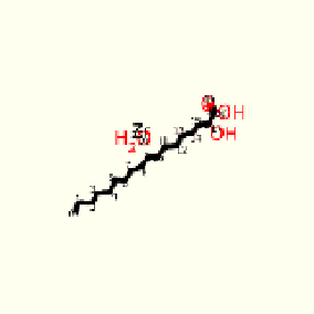 CCCCCCCCCCCCCCCCC(O)C(=O)O.O.[Zr]